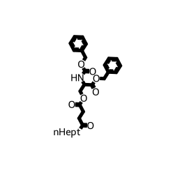 CCCCCCCC(=O)CCC(=O)OCC(NC(=O)OCc1ccccc1)C(=O)OCc1ccccc1